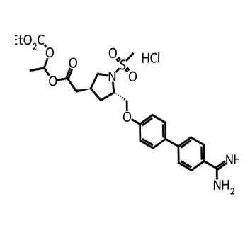 CCOC(=O)OC(C)OC(=O)C[C@@H]1C[C@@H](COc2ccc(-c3ccc(C(=N)N)cc3)cc2)N(S(C)(=O)=O)C1.Cl